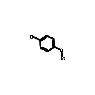 [CH2]COc1ccc(Cl)cc1